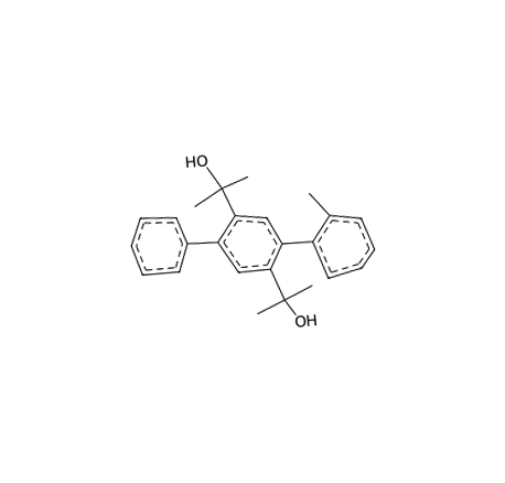 Cc1ccccc1-c1cc(C(C)(C)O)c(-c2ccccc2)cc1C(C)(C)O